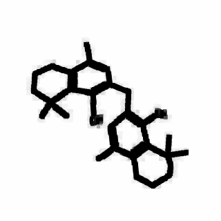 Cc1cc(Cc2cc(C)c3c(c2O)C(C)(C)CCC3)c(O)c2c1CCCC2(C)C